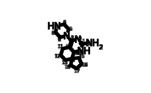 NC1=NC(N2CCNCC2)=C2CCCC3(CCCC3)C2N1